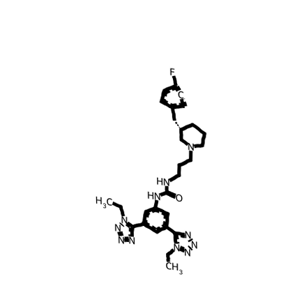 CCn1nnnc1-c1cc(NC(=O)NCCCN2CCC[C@@H](Cc3ccc(F)cc3)C2)cc(-c2nnnn2CC)c1